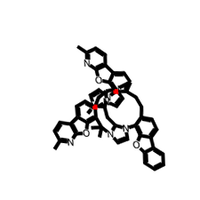 Cc1ccc2c(n1)oc1c3c4c(cc12)N1C=CN(C)C1Cc1ccc2c(oc5nc(C)ccc52)c1C(C)(C)N1C=CN(c2c(ccc5c2oc2ccccc25)CC4)C1CC1N(C)C=CN31